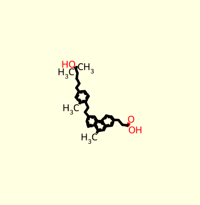 Cc1cc(CCCCC(C)(C)O)ccc1CCc1ccc2c(C)cc3cc(CCC(=O)O)ccc3c2c1